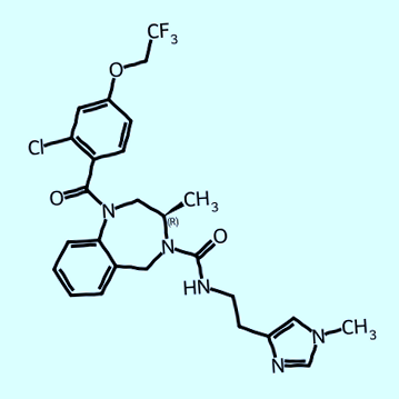 C[C@@H]1CN(C(=O)c2ccc(OCC(F)(F)F)cc2Cl)c2ccccc2CN1C(=O)NCCc1cn(C)cn1